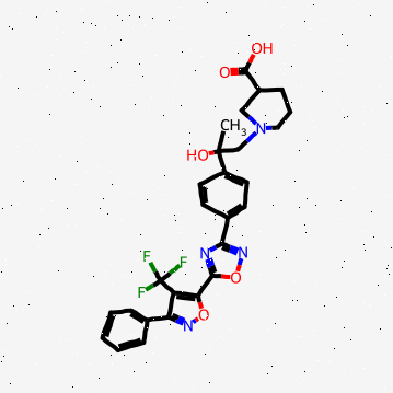 CC(O)(CN1CCCC(C(=O)O)C1)c1ccc(-c2noc(-c3onc(-c4ccccc4)c3C(F)(F)F)n2)cc1